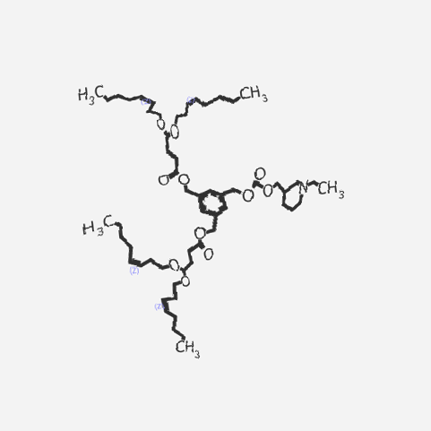 CCCC/C=C\CCOC(CCC(=O)OCc1cc(COC(=O)CCC(OCC/C=C\CCCC)OCC/C=C\CCCC)cc(COC(=O)OCC2CCCN(CC)C2)c1)OCC/C=C\CCCC